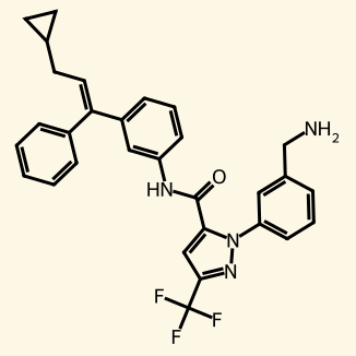 NCc1cccc(-n2nc(C(F)(F)F)cc2C(=O)Nc2cccc(/C(=C/CC3CC3)c3ccccc3)c2)c1